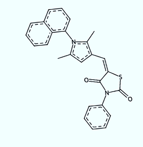 Cc1cc(C=C2SC(=O)N(c3ccccc3)C2=O)c(C)n1-c1cccc2ccccc12